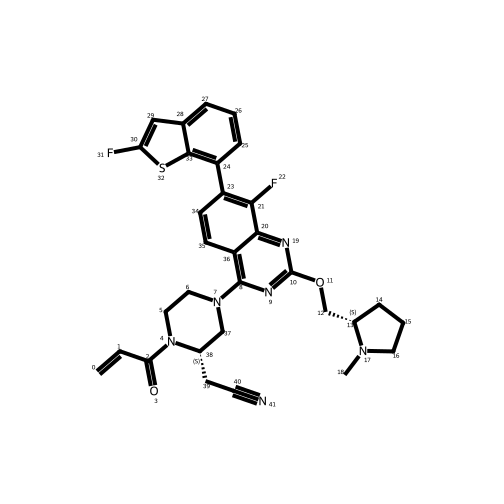 C=CC(=O)N1CCN(c2nc(OC[C@@H]3CCCN3C)nc3c(F)c(-c4cccc5cc(F)sc45)ccc23)C[C@@H]1CC#N